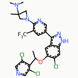 CC(Oc1cc2c(-c3cnc(N4CC(C)(N(C)C)C4)c(C(F)(F)F)c3)n[nH]c2cc1Cl)c1c(Cl)cncc1Cl